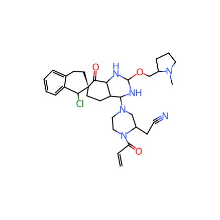 C=CC(=O)N1CCN(C2NC(OCC3CCCN3C)NC3C(=O)[C@]4(CCc5ccccc5C4Cl)CCC32)CC1CC#N